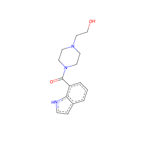 O=C(c1cccc2[c]c[nH]c12)N1CCN(CCO)CC1